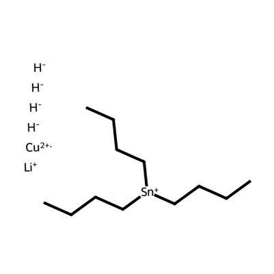 CCC[CH2][Sn+]([CH2]CCC)[CH2]CCC.[Cu+2].[H-].[H-].[H-].[H-].[Li+]